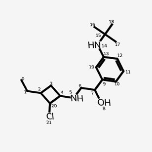 CCC1CC(NCC(O)c2cccc(NC(C)(C)C)c2)C1Cl